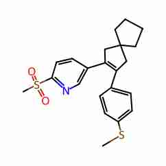 CSc1ccc(C2=C(c3ccc(S(C)(=O)=O)nc3)CC3(CCCC3)C2)cc1